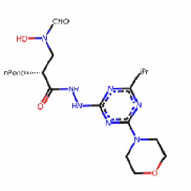 CCCCC[C@H](CN(O)C=O)C(=O)NNc1nc(C(C)C)nc(N2CCOCC2)n1